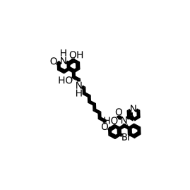 O=C(O)N(C1CN2CCC1CC2)[C@H](c1ccccc1)c1cc(OCCCCCCCCCNC[C@H](O)c2ccc(O)c3[nH]c(=O)ccc23)ccc1Br